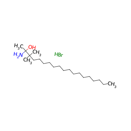 Br.CCCCCCCCCCCCCCCCC(C)(C)C(C)(N)O